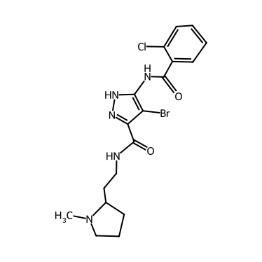 CN1CCCC1CCNC(=O)c1n[nH]c(NC(=O)c2ccccc2Cl)c1Br